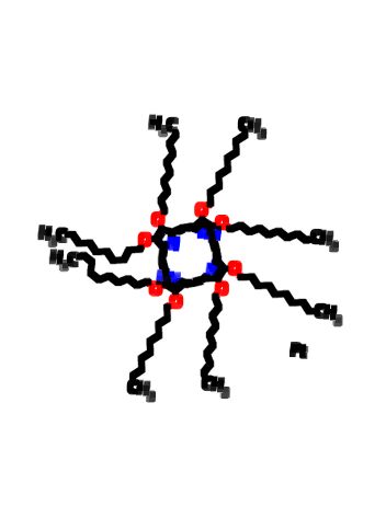 CCCCCCCCCCOC1=C(OCCCCCCCCCC)c2cc3[nH]c(cc4nc(cc5[nH]c(cc1n2)c(OCCCCCCCCCC)c5OCCCCCCCCCC)C(OCCCCCCCCCC)=C4OCCCCCCCCCC)c(OCCCCCCCCCC)c3OCCCCCCCCCC.[Pt]